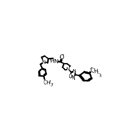 Cc1ccc(CN2CCC(CNC(=O)C3CCN(c4nc(-c5cccc(C)c5)no4)CC3)C2)cc1